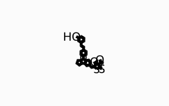 CC(=O)N1C(=O)/C(=C\c2ccc3c(c2)C2CCCC2N3c2ccc(/C=C/c3cccc(O)c3)cc2)SC1=S